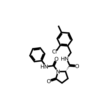 Cc1ccc(CNC(=O)[C@@H]2CCC(=O)N2C(=O)Nc2ccccc2)c(Cl)c1